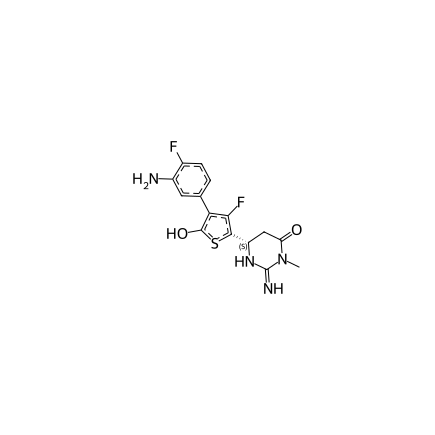 CN1C(=N)N[C@H](c2sc(O)c(-c3ccc(F)c(N)c3)c2F)CC1=O